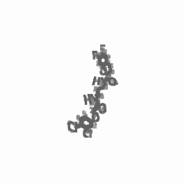 O=C(COc1ccc(Cl)c(Cl)c1)NCCCNC(=O)[C@H]1CCc2cc(F)c(F)cc2O1